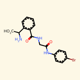 NC(C(=O)O)c1ccccc1C(=O)NCC(=O)Nc1ccc(Br)cc1